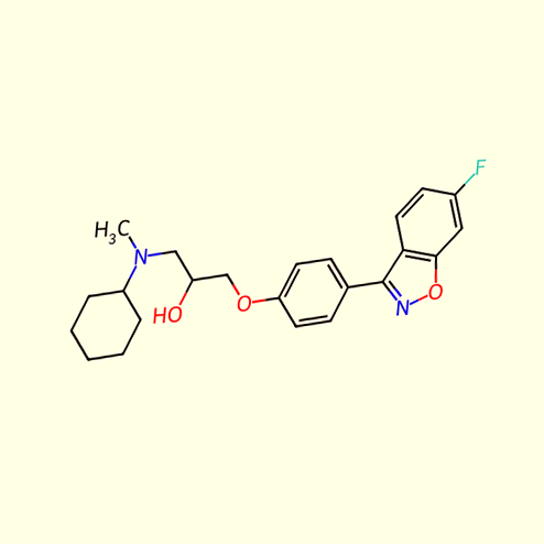 CN(CC(O)COc1ccc(-c2noc3cc(F)ccc23)cc1)C1CCCCC1